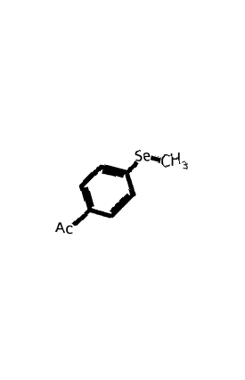 C[Se]c1ccc(C(C)=O)cc1